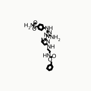 Nc1nc(Nc2ccc(S(N)(=O)=O)cc2)nn1-c1nccc(NCCNC(=O)OCc2ccccc2)n1